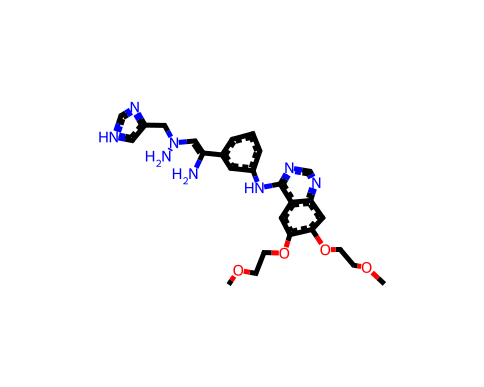 COCCOc1cc2ncnc(Nc3cccc(/C(N)=C/N(N)Cc4c[nH]cn4)c3)c2cc1OCCOC